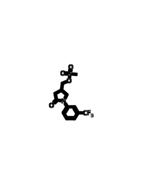 CS(=O)(=O)OCC1CC(=O)N(c2cccc(C(F)(F)F)c2)C1